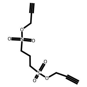 C#CCOS(=O)(=O)CCCS(=O)(=O)OCC#C